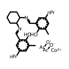 CC(=O)[O-].CC(=O)[O-].CCCc1cc(C)c(O)c(C=NC2CCCCC2N=Cc2cc(CCC)cc(C)c2O)c1.[Co+2]